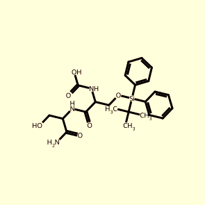 CC(C)(C)[Si](OCC(NC(=O)O)C(=O)NC(CO)C(N)=O)(c1ccccc1)c1ccccc1